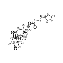 C[C@]12CC[C@H](OC(=O)CCCC3CCCC3)CC1=CC(=O)[C@@H]1[C@@H]2CC[C@]2(C)C(=O)CC[C@@H]12